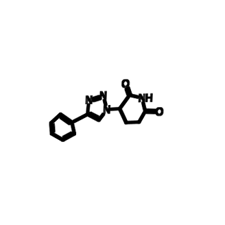 O=C1CCC(n2cc(-c3ccccc3)nn2)C(=O)N1